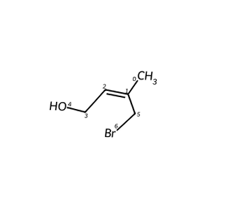 CC(=CCO)CBr